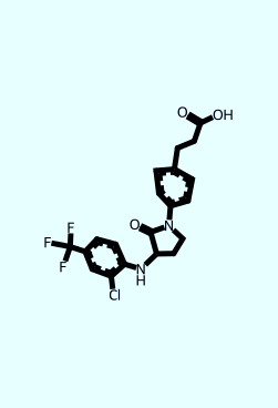 O=C(O)CCc1ccc(N2CCC(Nc3ccc(C(F)(F)F)cc3Cl)C2=O)cc1